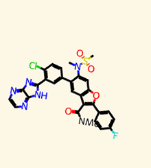 CNC(=O)c1c(-c2ccc(F)cc2)oc2cc(N(C)S(C)(=O)=O)c(-c3ccc(Cl)c(-c4nc5nccnc5[nH]4)c3)cc12